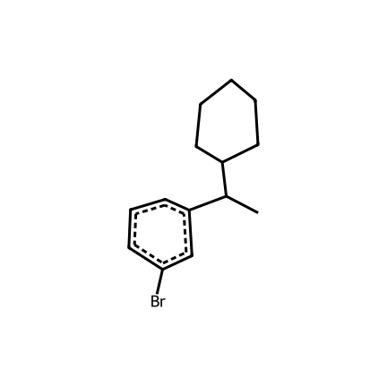 CC(c1cccc(Br)c1)C1CCCCC1